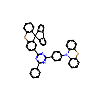 c1ccc(-c2nc(-c3ccc(N4c5ccccc5Sc5ccccc54)cc3)nc(-c3ccc4c(c3)C3(c5ccccc5S4)c4ccccc4-c4ccccc43)n2)cc1